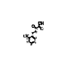 O=C(O)C(=O)CCc1ccccc1Cl